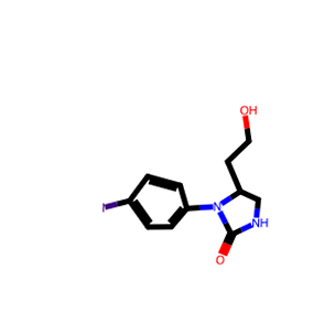 O=C1NCC(CCO)N1c1ccc(I)cc1